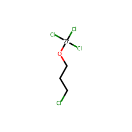 ClCCC[O][Zr]([Cl])([Cl])[Cl]